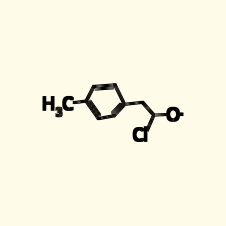 Cc1ccc(CC([O])Cl)cc1